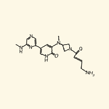 CNc1cncc(-c2c[nH]c(=O)c(N(C)C3CN(C(=O)/C=C/CN)C3)c2)n1